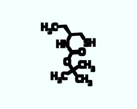 CC[C@@H](CS)NC(=O)OC(C)(C)C